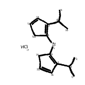 CC(C)C1=[C]([Zr][C]2=C(C(C)C)C=CC2)CC=C1.Cl